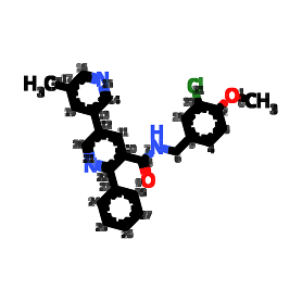 COc1ccc(CNC(=O)c2cc(-c3cncc(C)c3)cnc2-c2ccccc2)cc1Cl